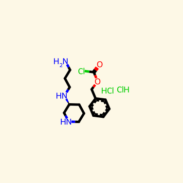 Cl.Cl.NCCCN[C@H]1CCCNC1.O=C(Cl)OCc1ccccc1